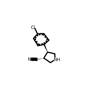 N#C[C@H]1CNC[C@@H]1c1ccc(Cl)cc1